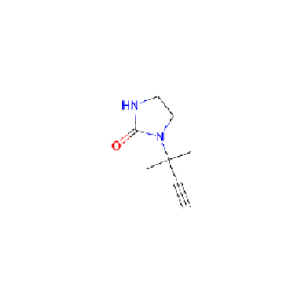 [C]#CC(C)(C)N1CCNC1=O